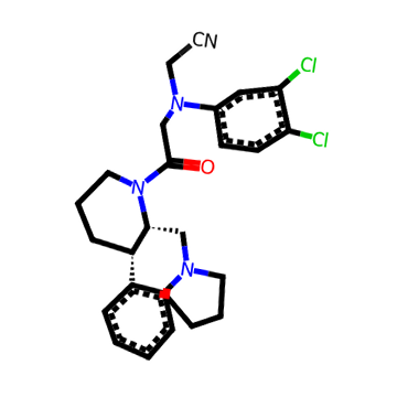 N#CCN(CC(=O)N1CCC[C@@H](c2ccccc2)[C@H]1CN1CCCC1)c1ccc(Cl)c(Cl)c1